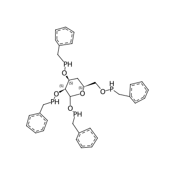 c1ccc(CPOC[C@@H]2C[C@H](OPCc3ccccc3)[C@H](OPCc3ccccc3)C(OPCc3ccccc3)O2)cc1